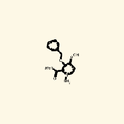 CNC(=O)c1c(OCc2ccccc2)c(=O)ccn1N.Cl